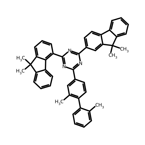 Cc1ccccc1-c1ccc(-c2nc(-c3ccc4c(c3)C(C)(C)c3ccccc3-4)nc(-c3cccc4c3-c3ccccc3C4(C)C)n2)cc1C